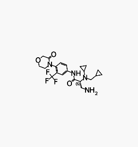 NC[C@@H](C(=O)Nc1ccc(N2CCOCC2=O)c(C(F)(F)F)c1)N(CC1CC1)C1CC1